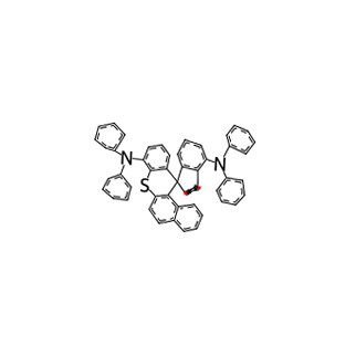 c1ccc(N(c2ccccc2)c2cccc3c2Sc2ccc4ccccc4c2C32c3ccccc3-c3c(N(c4ccccc4)c4ccccc4)cccc32)cc1